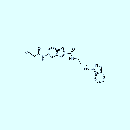 CCCNC(=O)Nc1ccc2oc(C(=O)NCCCNc3nsc4ccccc34)cc2c1